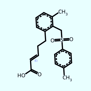 Cc1ccc(S(=O)(=O)Cc2c(C)cccc2CC/C=C/C(=O)O)cc1